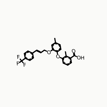 Cc1ccc(Oc2cccc(C(=O)O)c2C)c(OCC=Cc2ccc(C(F)(F)F)cc2)c1